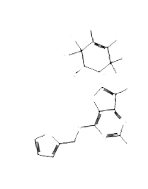 [2H]C1=C([2H])C([2H])([2H])[C@H](c2sc3c(NCc4ccco4)nc(Cl)nc3c2C)[C@@H](N)C1([2H])[2H]